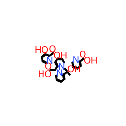 CC(C)(O)c1ccccn1.O=C(O)Cc1ccccn1.O=C(O)c1ccccn1.O=C(O)c1ncccc1O